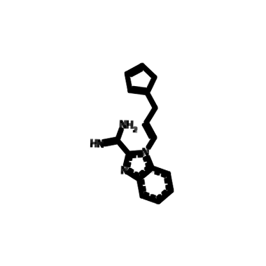 N=C(N)c1nc2ccccc2n1/C=C/CC1=CC=CC1